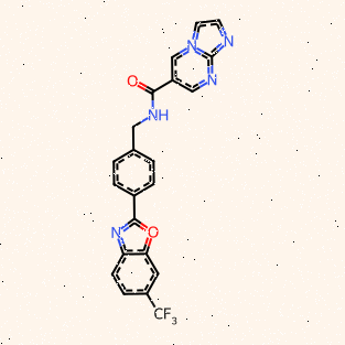 O=C(NCc1ccc(-c2nc3ccc(C(F)(F)F)cc3o2)cc1)c1cnc2nccn2c1